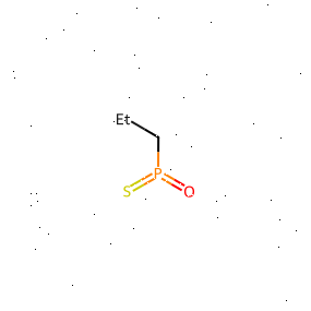 CCCP(=O)=S